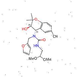 COC(CNC(=O)N(Cc1ccco1)[C@H]1c2cc(C#N)ccc2OC(C)(C)[C@@H]1O)OC